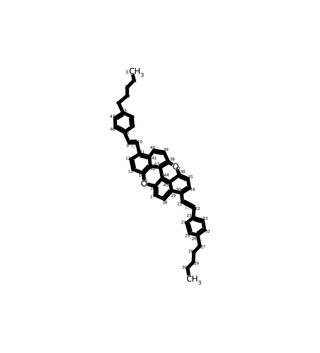 CCCCCc1ccc(/C=C/c2ccc3oc4ccc5c(/C=C/c6ccc(CCCCC)cc6)ccc6oc7ccc2c3c7-c4c65)cc1